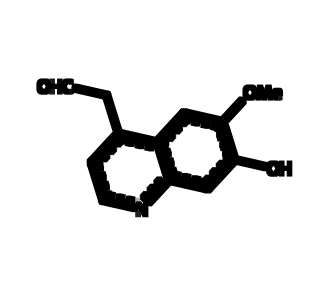 COc1cc2c(CC=O)ccnc2cc1O